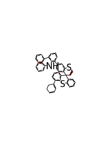 C1=CCCC(c2cccc3c2Sc2ccccc2C32c3ccccc3Sc3cc(-c4cccc(-c5ccccc5)c4Nc4ccccc4)ccc32)=C1